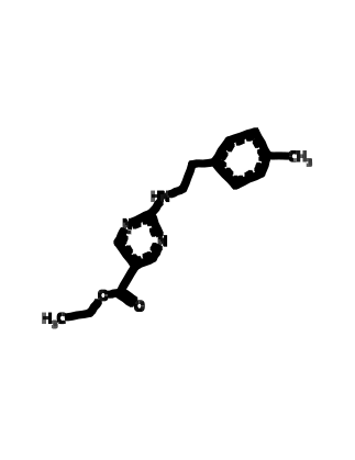 CCOC(=O)c1cnc(NCCc2ccc(C)cc2)nc1